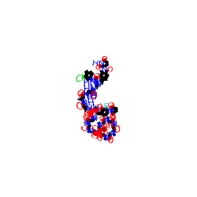 Cc1ccc(NC(=O)N(CNC(=O)CNC(=O)[C@H](C)NC(=O)[C@H](C)NC(=O)CCc2ccc(N3C(=O)C=CC3=O)c(F)c2OCCCC(=O)N(C)CC(=O)N(C)CC(=O)N(C)CC(=O)N(C)CC(=O)N(C)CC(=O)N(C)CC(=O)N(C)CC(=O)N(C)CC(=O)N(C)CC(=O)N(C)CC(=O)O)Cc2ccc3c(c2)CN(C2CCC(=O)NC2=O)C3=O)cc1Cl